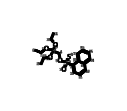 CCO[Si](COS(=O)(=S)c1cccc2ccccc12)(OCC)OCC